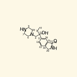 CCC(O)(CN1CCNCC1)c1ccc2c(c1)C(=O)NC2